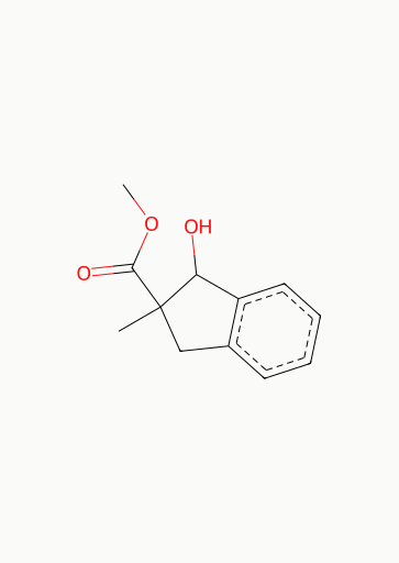 COC(=O)C1(C)Cc2ccccc2C1O